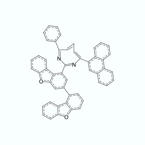 C1=C/C(c2ccccc2)=N\C(c2cc(-c3cccc4oc5ccccc5c34)cc3oc4ccccc4c23)=N/C(c2cc3ccccc3c3ccccc23)=C/1